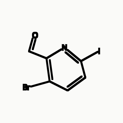 O=Cc1nc(I)ccc1Br